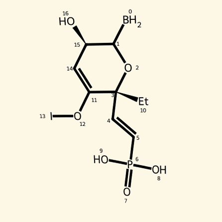 BC1O[C@@](/C=C/P(=O)(O)O)(CC)C(OI)=C[C@H]1O